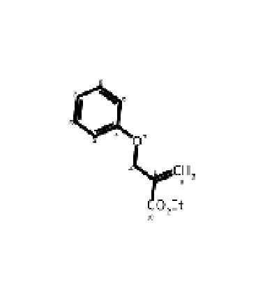 C=C(COc1ccccc1)C(=O)OCC